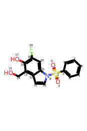 O=S(=O)(c1ccccc1)n1ccc2c(CO)c(O)c(F)cc21